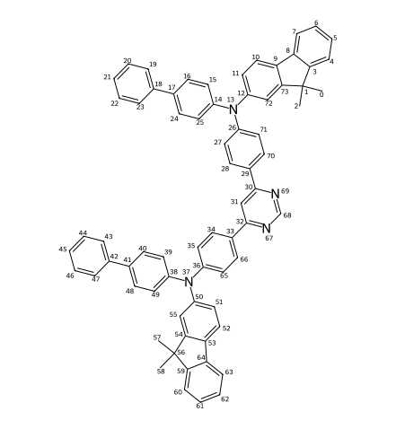 CC1(C)c2ccccc2-c2ccc(N(c3ccc(-c4ccccc4)cc3)c3ccc(-c4cc(-c5ccc(N(c6ccc(-c7ccccc7)cc6)c6ccc7c(c6)C(C)(C)c6ccccc6-7)cc5)ncn4)cc3)cc21